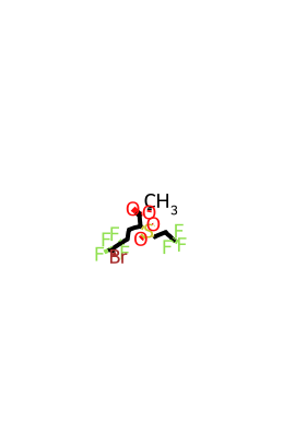 COC(=O)C(CCC(F)(F)C(F)(F)Br)S(=O)(=O)CCC(F)(F)F